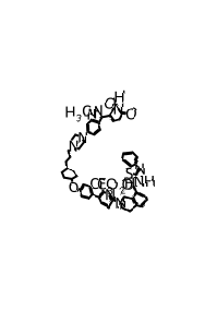 Cn1nc(C2CCC(=O)NC2=O)c2ccc(N3CCN(CCCC4CCC(Oc5ccc(-c6ccc(N7CCc8cccc(C(=O)Nc9nc%10ccccc%10s9)c8C7)nc6C(=O)O)c(C(F)(F)F)c5)CC4)CC3)cc21